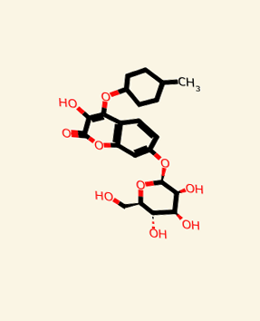 CC1CCC(Oc2c(O)c(=O)oc3cc(O[C@@H]4O[C@H](CO)[C@@H](O)[C@H](O)[C@@H]4O)ccc23)CC1